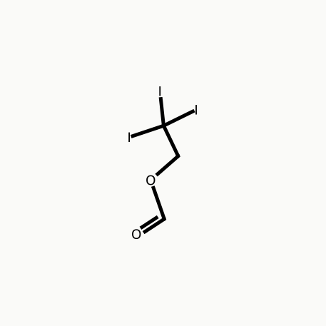 O=COCC(I)(I)I